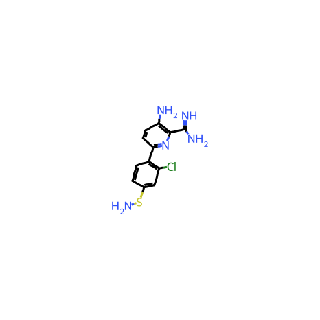 N=C(N)c1nc(-c2ccc(SN)cc2Cl)ccc1N